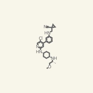 COC[C@@H](C)N[C@H]1CC[C@H](Nc2cc(-c3cccc(NCC4(C#N)CC4)c3)c(Cl)cn2)CC1